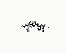 C=CCC(COCC)NS(=O)(=O)c1ccc(Cc2nccc3[nH]c(C)nc23)cc1